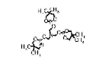 CC1(C)COP(OCN(COP2OCC(C)(C)CO2)COP2OCC(C)(C)CO2)OC1